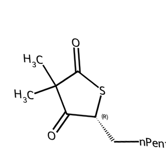 CCCCCC[C@H]1SC(=O)C(C)(C)C1=O